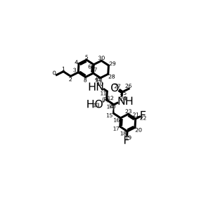 CCCc1ccc2c(c1)[C@@H](NC[C@@H](O)[C@H](Cc1cc(F)cc(F)c1)NC(C)=O)CCC2